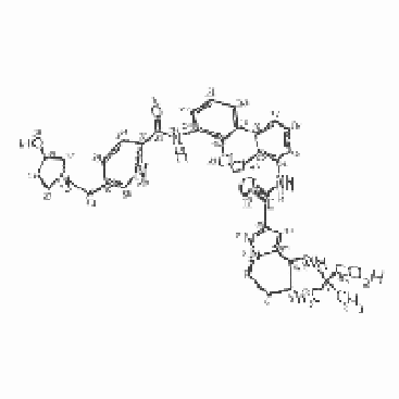 CC(C)(NC1CCCn2nc(C(=O)Nc3cccc(-c4cccc(NC(=O)c5ccc(CN6CC[C@@H](O)C6)cn5)c4Cl)c3Cl)cc21)C(=O)O